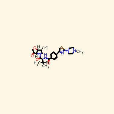 CCC[C@@H]1CN(C(=O)[C@@H](NC(=O)c2ccc(-c3csc(N4CCN(C)CC4)n3)cc2)C(C)(C)CC)[C@@H]2C(=O)CO[C@H]12